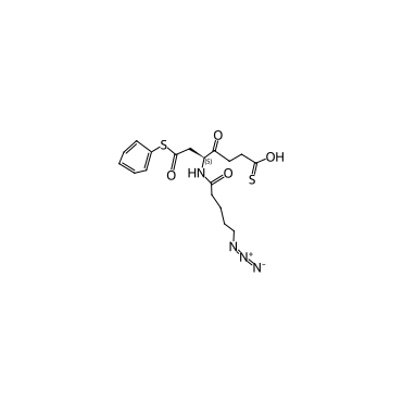 [N-]=[N+]=NCCCCC(=O)N[C@@H](CC(=O)Sc1ccccc1)C(=O)CCC(O)=S